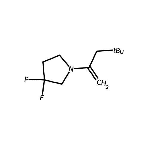 C=C(CC(C)(C)C)N1CCC(F)(F)C1